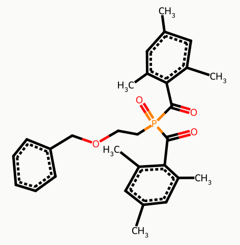 Cc1cc(C)c(C(=O)P(=O)(CCOCc2ccccc2)C(=O)c2c(C)cc(C)cc2C)c(C)c1